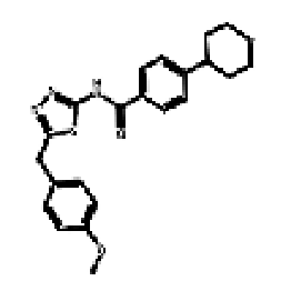 COc1ccc(Cc2nnc(NC(=O)c3ccc(C4CC[CH]CC4)cc3)s2)cc1